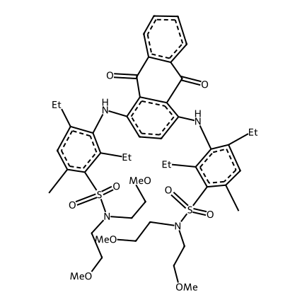 CCc1cc(C)c(S(=O)(=O)N(CCOC)CCOC)c(CC)c1Nc1ccc(Nc2c(CC)cc(C)c(S(=O)(=O)N(CCOC)CCOC)c2CC)c2c1C(=O)c1ccccc1C2=O